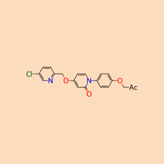 CC(=O)COc1ccc(-n2ccc(OCc3ccc(Cl)cn3)cc2=O)cc1